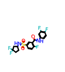 O=C(Nc1ccc(F)c(F)c1)c1cc(S(=O)(=O)NC2CCC(F)(F)C2)ccc1F